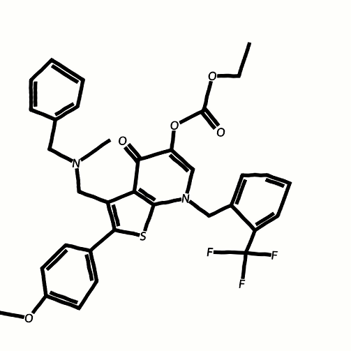 CCOC(=O)Oc1cn(Cc2ccccc2C(F)(F)F)c2sc(-c3ccc(OC)cc3)c(CN(C)Cc3ccccc3)c2c1=O